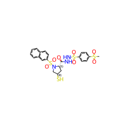 CS(=O)(=O)c1ccc(S(=O)(=O)NNC(=O)[C@@H]2C[C@@H](S)CN2S(=O)(=O)c2ccc3ccccc3c2)cc1